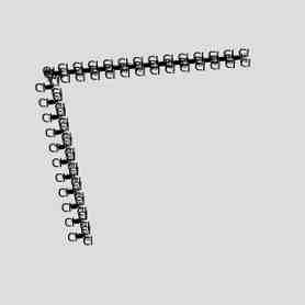 CC(C)O.ClC(Cl)Cl.ClC(Cl)Cl.ClC(Cl)Cl.ClC(Cl)Cl.ClC(Cl)Cl.ClC(Cl)Cl.ClC(Cl)Cl.ClC(Cl)Cl.ClC(Cl)Cl.ClC(Cl)Cl.ClC(Cl)Cl.ClC(Cl)Cl.ClC(Cl)Cl.ClC(Cl)Cl.ClC(Cl)Cl.ClC(Cl)Cl.ClC(Cl)Cl.ClC(Cl)Cl.ClC(Cl)Cl.ClC(Cl)Cl.ClC(Cl)Cl.ClC(Cl)Cl.ClC(Cl)Cl.ClC(Cl)Cl